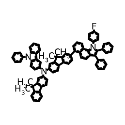 CC1(C)c2ccccc2-c2ccc(N(c3ccc4c(c3)C(C)(C)c3cc(-c5cccc6c5ccc5c(-c7ccccc7)c(-c7ccccc7)n(-c7ccc(F)cc7)c56)ccc3-4)c3ccc4c(c3)c3ccccc3n4-c3ccccc3)cc21